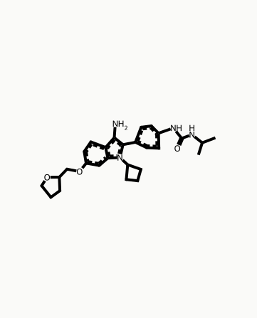 CC(C)NC(=O)Nc1ccc(-c2c(N)c3ccc(OCC4CCCO4)cc3n2C2CCC2)cc1